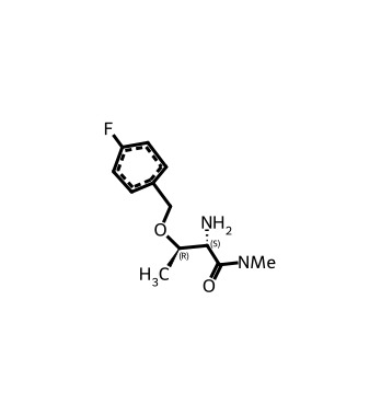 CNC(=O)[C@@H](N)[C@@H](C)OCc1ccc(F)cc1